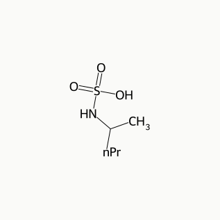 CCCC(C)NS(=O)(=O)O